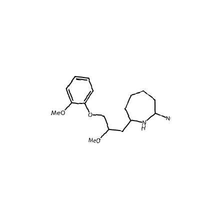 COc1ccccc1OCC(CC1CCCCC([N])N1)OC